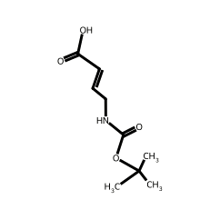 CC(C)(C)OC(=O)NC/C=C/C(=O)O